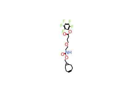 O=C(CCCOCCNC(=O)OCC1C2CCC#CCCC21)Oc1c(F)c(F)c(F)c(F)c1F